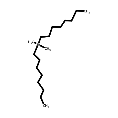 CCCCCCC[CH2][Sn]([CH3])([CH3])[CH2]CCCCCCC